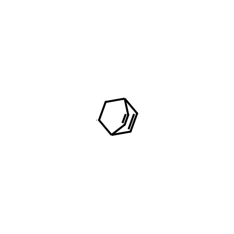 [CH]1CC2C=CC1C=C2